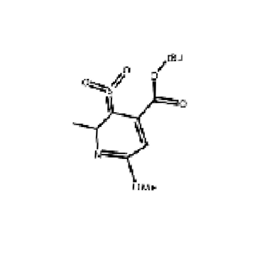 COC1=NC(C)C(=S(=O)=O)C(C(=O)OC(C)(C)C)=C1